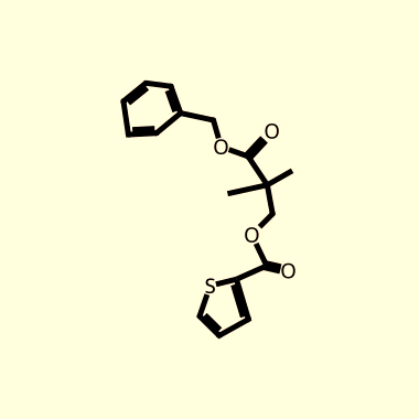 CC(C)(COC(=O)c1cccs1)C(=O)OCc1ccccc1